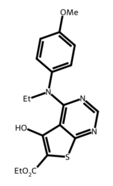 CCOC(=O)c1sc2ncnc(N(CC)c3ccc(OC)cc3)c2c1O